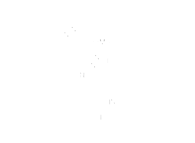 COc1nn2c(-c3cc(C(=O)NCC(F)(F)F)ccc3F)cnc2cc1-c1cnn(C)c1